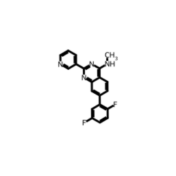 CNc1nc(-c2cccnc2)nc2cc(-c3cc(F)ccc3F)ccc12